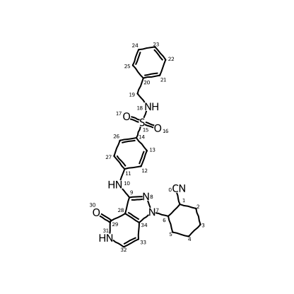 N#CC1CCCCC1n1nc(Nc2ccc(S(=O)(=O)NCc3ccccc3)cc2)c2c(=O)[nH]ccc21